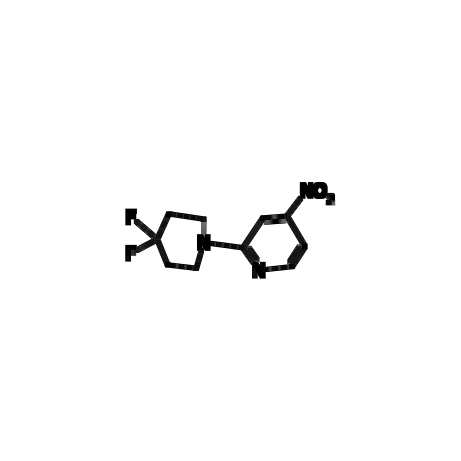 O=[N+]([O-])c1ccnc(N2CCC(F)(F)CC2)c1